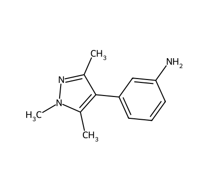 Cc1nn(C)c(C)c1-c1cccc(N)c1